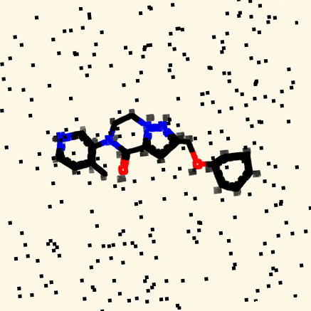 Cc1ccncc1N1CCn2nc(COc3ccccc3)cc2C1=O